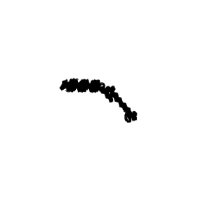 CCCC(COc1ccc(-c2ccc(-c3ccc(C(C)C)cc3)cc2)cc1)CC(C)CCCCCCCCC(=O)C(C)C